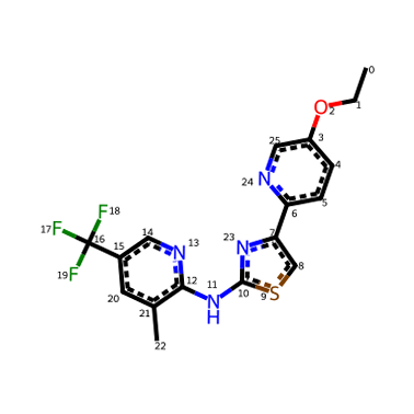 CCOc1ccc(-c2csc(Nc3ncc(C(F)(F)F)cc3C)n2)nc1